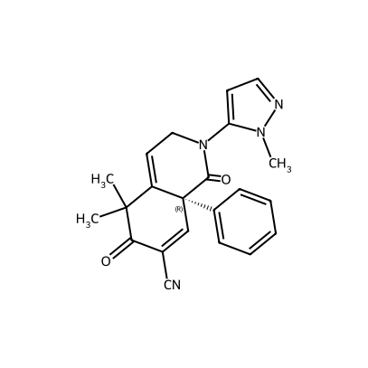 Cn1nccc1N1CC=C2C(C)(C)C(=O)C(C#N)=C[C@]2(c2ccccc2)C1=O